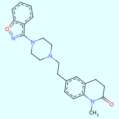 CN1C(=O)CCc2cc(CCN3CCN(c4noc5ccccc45)CC3)ccc21